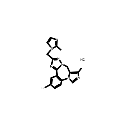 Cc1ncn2c1Cn1nc(Cn3ccnc3C)nc1-c1cc(Br)ccc1-2.Cl